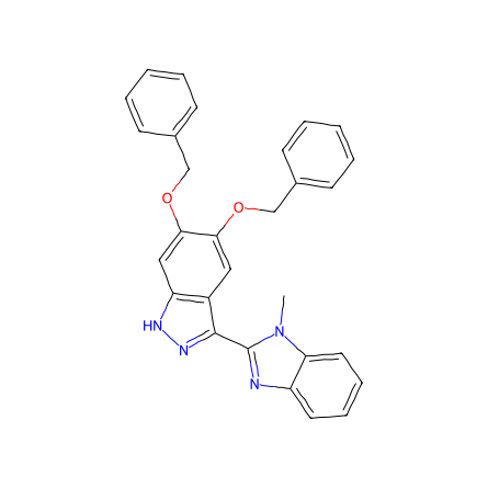 Cn1c(-c2n[nH]c3cc(OCc4ccccc4)c(OCc4ccccc4)cc23)nc2ccccc21